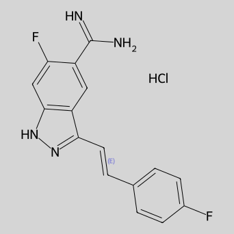 Cl.N=C(N)c1cc2c(/C=C/c3ccc(F)cc3)n[nH]c2cc1F